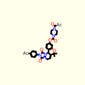 CC(=O)C(=O)N1CCN(C(=O)Oc2ccc3c(c2)OC(C)(C)C2=CCn4c(=O)n(-c5ccc(C(C)=O)cc5)c(=O)n4C23)CC1